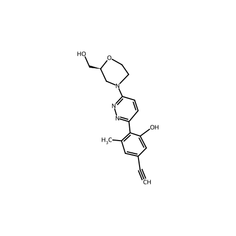 C#Cc1cc(C)c(-c2ccc(N3CCO[C@H](CO)C3)nn2)c(O)c1